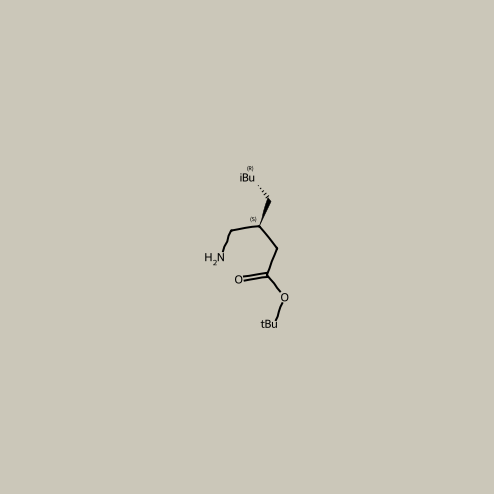 CC[C@@H](C)C[C@H](CN)CC(=O)OC(C)(C)C